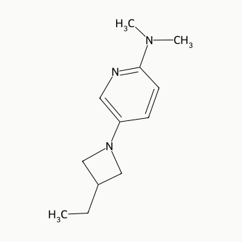 CCC1CN(c2ccc(N(C)C)nc2)C1